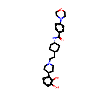 O=C(N[C@H]1CC[C@H](CCN2CCC(c3cccc(O)c3O)CC2)CC1)c1ccc(N2CCOCC2)cc1